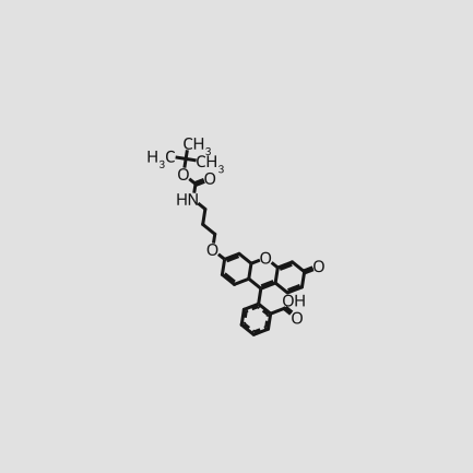 CC(C)(C)OC(=O)NCCCOC1=CC2OC3=CC(=O)C=CC3=C(c3ccccc3C(=O)O)C2C=C1